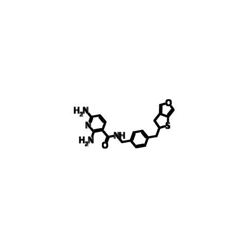 Nc1ccc(C(=O)NCc2ccc(CC3Cc4cocc4S3)cc2)c(N)n1